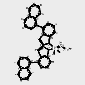 CCC[SiH]=[Hf]([CH3])([CH3])([CH]1C=Cc2c(-c3cccc4ccccc34)cccc21)[CH]1C=Cc2c(-c3cccc4ccccc34)cccc21